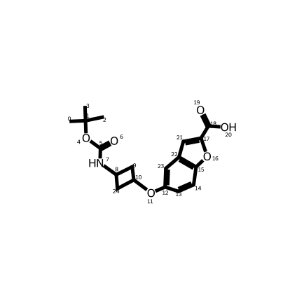 CC(C)(C)OC(=O)NC1CC(Oc2ccc3oc(C(=O)O)cc3c2)C1